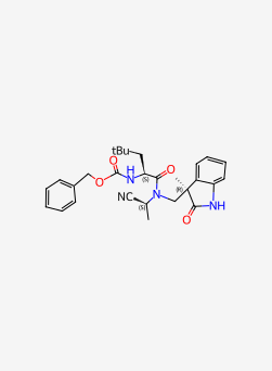 C[C@@H](C#N)N(C[C@]1(C)C(=O)Nc2ccccc21)C(=O)[C@H](CC(C)(C)C)NC(=O)OCc1ccccc1